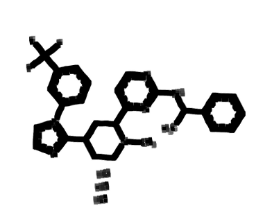 CC(Nc1nccc(C2CC(c3nccn3-c3cccc(C(F)(F)F)c3)CCN2C)n1)c1ccccc1.Cl.Cl.Cl